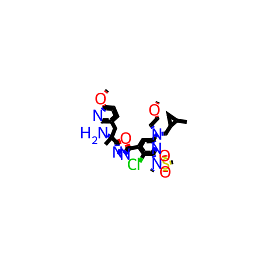 COCCN(CC1CC1C)c1cc(-c2nnc(C(C)(N)Cc3ccc(OC)nc3)o2)c(Cl)c(N(C)S(C)(=O)=O)n1